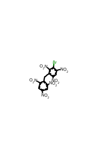 O=[N+]([O-])c1cc([N+](=O)[O-])c(Cc2c([N+](=O)[O-])cc([N+](=O)[O-])c(Br)c2[N+](=O)[O-])c([N+](=O)[O-])c1